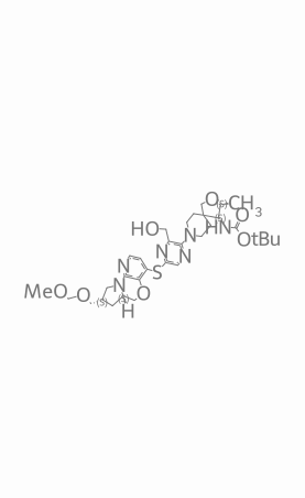 COCOC[C@H]1C[C@H]2COc3c(Sc4cnc(N5CCC6(CC5)CO[C@@H](C)[C@H]6NC(=O)OC(C)(C)C)c(CO)n4)ccnc3N2C1